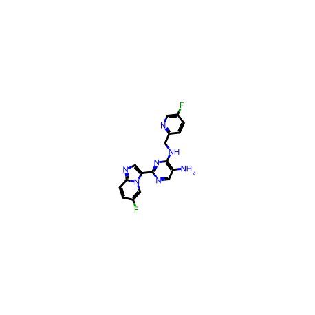 Nc1cnc(-c2cnc3ccc(F)cn23)nc1NCc1ccc(F)cn1